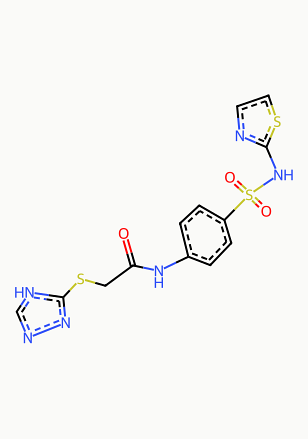 O=C(CSc1nnc[nH]1)Nc1ccc(S(=O)(=O)Nc2nccs2)cc1